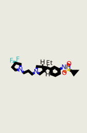 CC[C@]1(c2cccc(NS(=O)(=O)C3CC3)c2)[C@@H]2CN(CCCN3CCC(F)(F)C3)C[C@@H]21